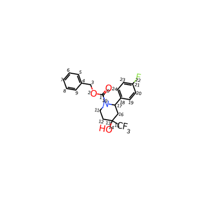 O=C(OCc1ccccc1)N1CCC(O)(C(F)(F)F)CC1c1ccc(F)cc1